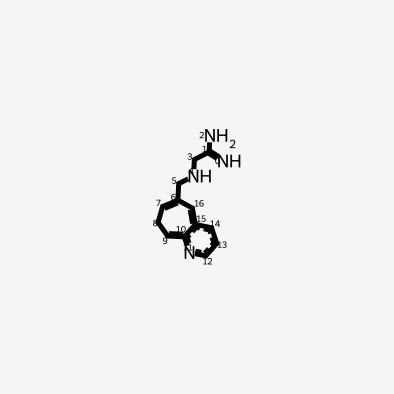 N=C(N)CNCC1=CCC=c2ncccc2=C1